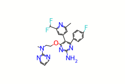 Cc1cc(-c2c(OCCN(C)c3ncccn3)nc(N)nc2-c2ccc(F)cc2)cc(C(F)F)n1